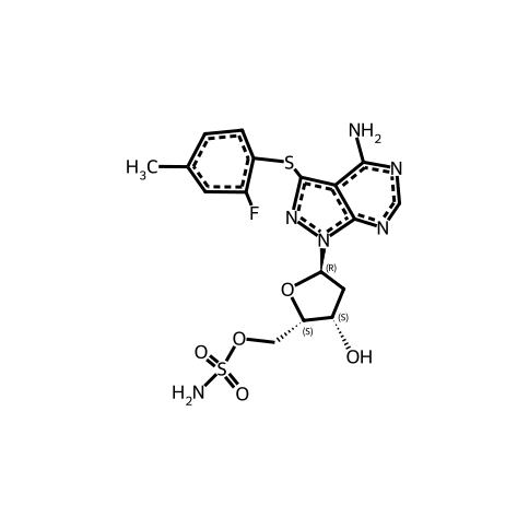 Cc1ccc(Sc2nn([C@H]3C[C@H](O)[C@H](COS(N)(=O)=O)O3)c3ncnc(N)c23)c(F)c1